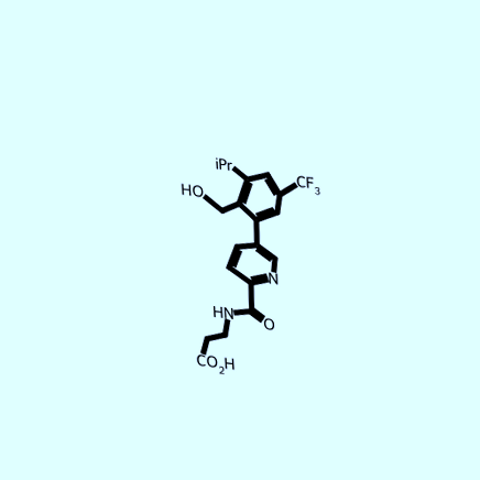 CC(C)c1cc(C(F)(F)F)cc(-c2ccc(C(=O)NCCC(=O)O)nc2)c1CO